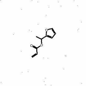 C=CC(=O)OC(C)c1ccco1